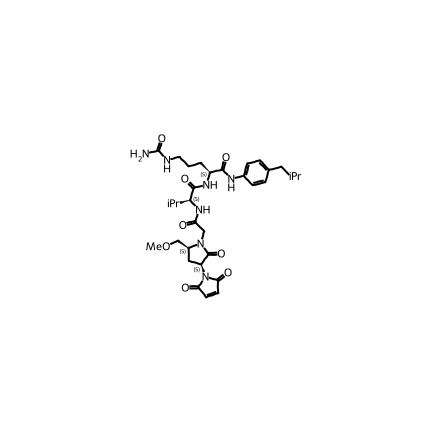 COC[C@@H]1C[C@H](N2C(=O)C=CC2=O)C(=O)N1CC(=O)N[C@H](C(=O)N[C@@H](CCCNC(N)=O)C(=O)Nc1ccc(CC(C)C)cc1)C(C)C